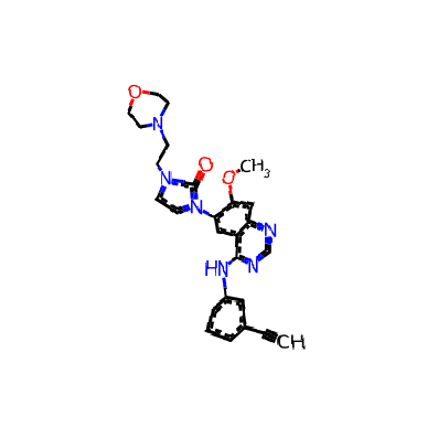 C#Cc1cccc(Nc2ncnc3cc(OC)c(-n4ccn(CCN5CCOCC5)c4=O)cc23)c1